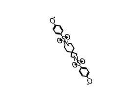 COc1ccc(S(=O)(=O)N2CCC3(CC2)CN(S(=O)(=O)c2ccc(OC)cc2)C3)cc1